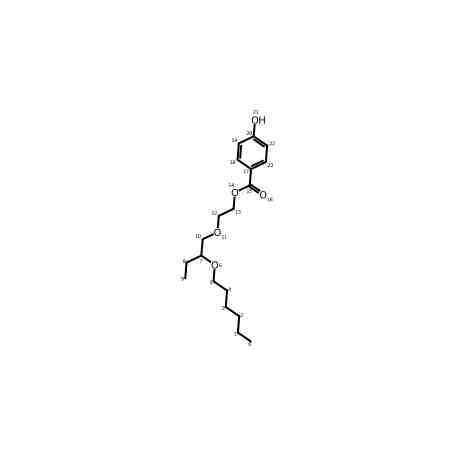 CCCCCCOC(CC)COCCOC(=O)c1ccc(O)cc1